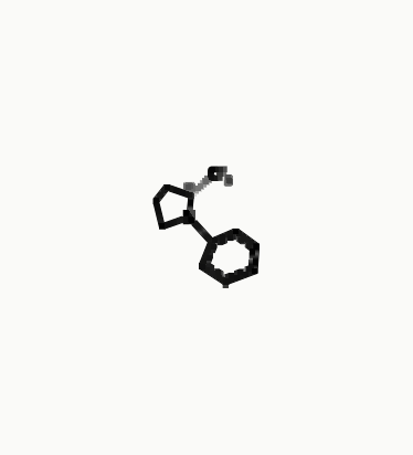 FC(F)(F)[C@H]1CCCN1c1c[c]ccc1